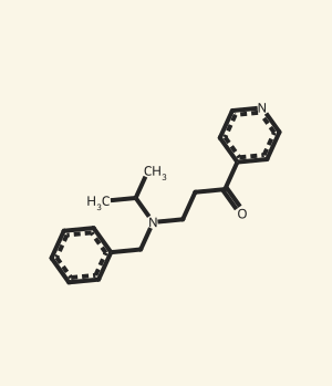 CC(C)N(CCC(=O)c1ccncc1)Cc1ccccc1